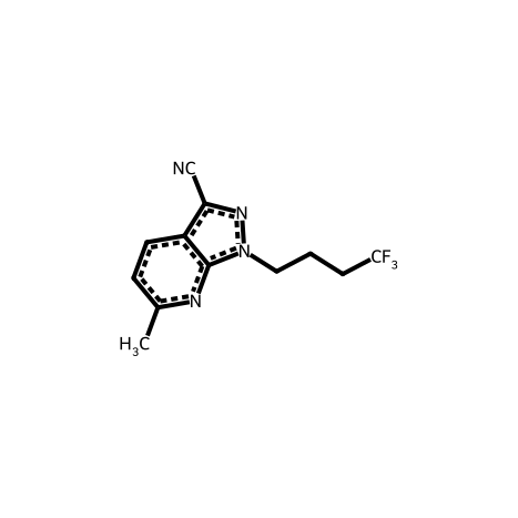 Cc1ccc2c(C#N)nn(CCCC(F)(F)F)c2n1